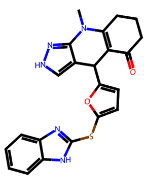 CN1C2=C(C(=O)CCC2)C(c2ccc(Sc3nc4ccccc4[nH]3)o2)c2c[nH]nc21